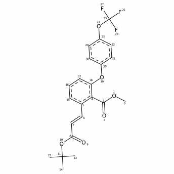 COC(=O)c1c(C=CC(=O)OC(C)(C)C)cccc1Oc1ccc(OC(F)(F)F)cc1